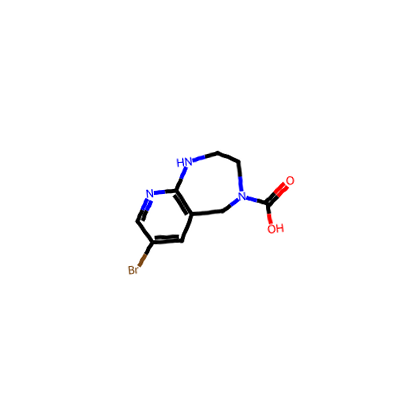 O=C(O)N1CCNc2ncc(Br)cc2C1